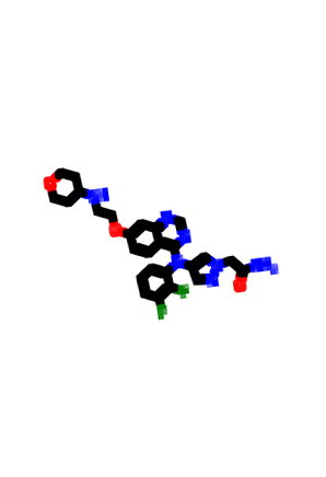 NC(=O)Cn1cc(N(c2cccc(F)c2F)c2ncnc3cc(OCCNC4CCOCC4)ccc23)cn1